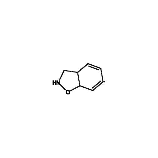 [C]1=CC2ONCC2C=C1